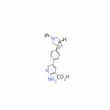 CC(C)N1C[C@@H]2C[C@]2(c2ccc(-c3cnc(N)c(C(=O)O)c3)cc2)C1